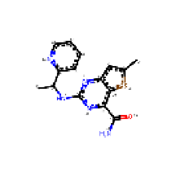 Cc1cc2nc(NC(C)c3ccccn3)nc(C(N)=O)c2s1